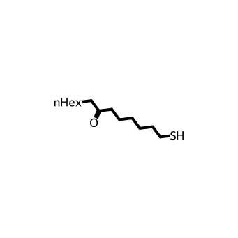 CCCCCCCC(=O)CCCCCCS